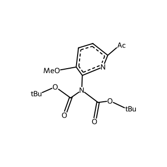 COc1ccc(C(C)=O)nc1N(C(=O)OC(C)(C)C)C(=O)OC(C)(C)C